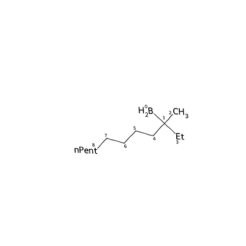 BC(C)(CC)CCCCCCCCC